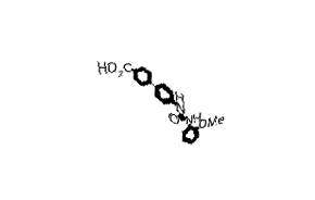 COc1ccccc1NC(=O)Nc1ccc([C@H]2CC[C@H](C(=O)O)CC2)cc1